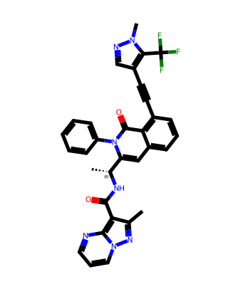 Cc1nn2cccnc2c1C(=O)N[C@H](C)c1cc2cccc(C#Cc3cnn(C)c3C(F)(F)F)c2c(=O)n1-c1ccccc1